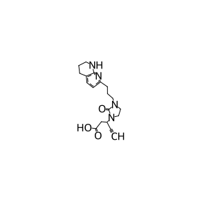 C#CC(CC(=O)O)N1CCN(CCCc2ccc3c(n2)NCCC3)C1=O